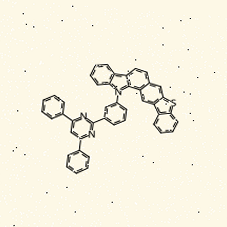 c1ccc(-c2cc(-c3ccccc3)nc(-c3cccc(-n4c5ccccc5c5ccc6cc7sc8ccccc8c7cc6c54)c3)n2)cc1